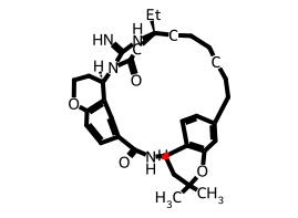 CC[C@]12CCCCCCc3ccc4c(c3)OC(C)(C)C[C@@H]4NC(=O)c3ccc4c(c3)[C@@H](CCO4)N(C(=N)N1)C(=O)C2